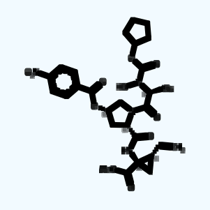 C=C[C@@H]1C[C@]1(NC(=O)[C@@H]1C[C@H](OC(=O)c2ccc([N+](=O)[O-])cc2)CN1C(=O)[C@@H](N(O)C(=O)OC1CCCC1)C(C)(C)C)C(=O)OC